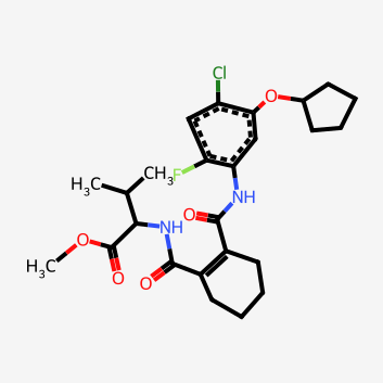 COC(=O)C(NC(=O)C1=C(C(=O)Nc2cc(OC3CCCC3)c(Cl)cc2F)CCCC1)C(C)C